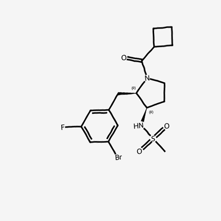 CS(=O)(=O)N[C@@H]1CCN(C(=O)C2CCC2)[C@@H]1Cc1cc(F)cc(Br)c1